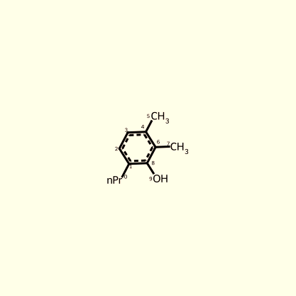 CCCc1ccc(C)c(C)c1O